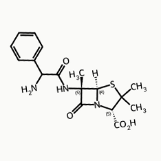 CC1(C)S[C@H]2N(C(=O)[C@]2(C)NC(=O)C(N)c2ccccc2)[C@H]1C(=O)O